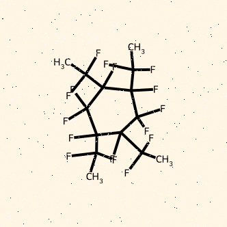 CC(F)(F)C1(F)C(F)(F)C(F)(C(C)(F)F)C(F)(C(C)(F)F)C(F)(F)C1(F)C(C)(F)F